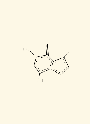 Cc1cn(C)c(=O)c2c(I)cnn12